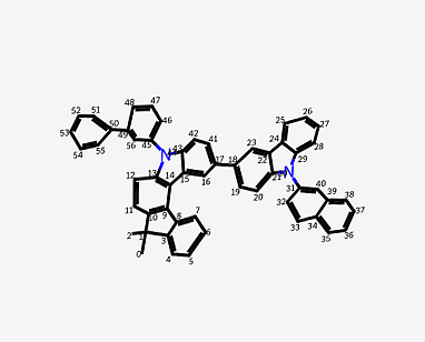 CC1(C)c2ccccc2-c2c1ccc1c2c2cc(-c3ccc4c(c3)c3ccccc3n4-c3ccc4ccccc4c3)ccc2n1-c1cccc(-c2ccccc2)c1